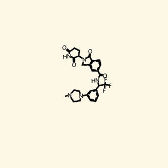 CN1CCN(c2cccc(C(NC(=O)c3ccc4c(c3)CN(C3CCC(=O)NC3=O)C4=O)C(F)(F)F)c2)CC1